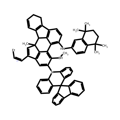 CBc1c(N2c3ccccc3C3(c4ccccc4-c4ccccc43)c3ccccc32)cc2c3c1-c1c(Nc4ccc5c(c4)C(C)(C)CCC5(C)C)ccc4c1C(C1=C4CCC=C1)C3(C)C=C2/C=C\CC